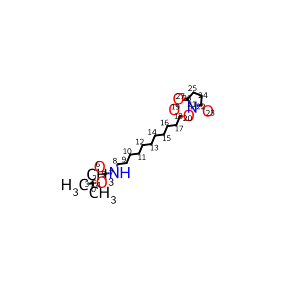 CC(C)(C)OC(=O)NCCCCCCCCCCC(=O)ON1C(=O)CCC1=O